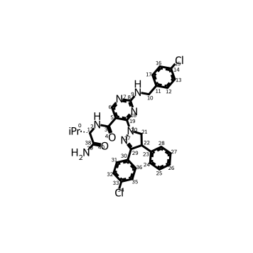 CC(C)[C@H](NC(=O)c1cnc(NCc2ccc(Cl)cc2)nc1N1CC(c2ccccc2)C(c2ccc(Cl)cc2)=N1)C(N)=O